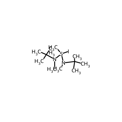 CN(C(C)(C)C)S(C)(I)N(C)C(C)(C)C